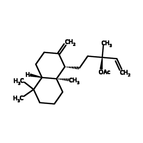 C=C[C@@](C)(CC[C@H]1C(=C)CC[C@H]2C(C)(C)CCC[C@]12C)OC(C)=O